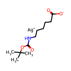 CC(C)(C)OC(=O)NCCCCCC(=O)[O-].[Ag+]